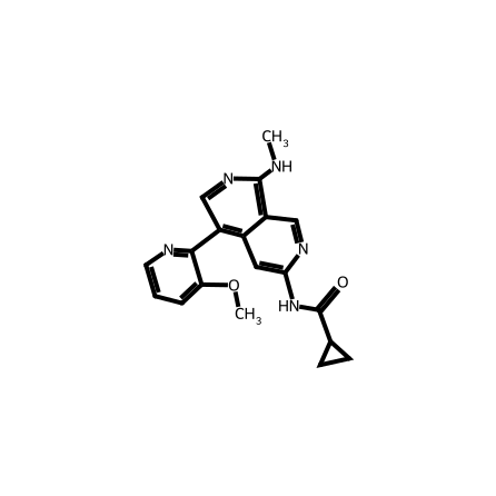 CNc1ncc(-c2ncccc2OC)c2cc(NC(=O)C3CC3)ncc12